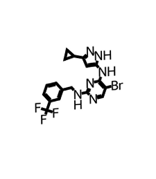 FC(F)(F)c1cccc(CNc2ncc(Br)c(Nc3cc(C4CC4)n[nH]3)n2)c1